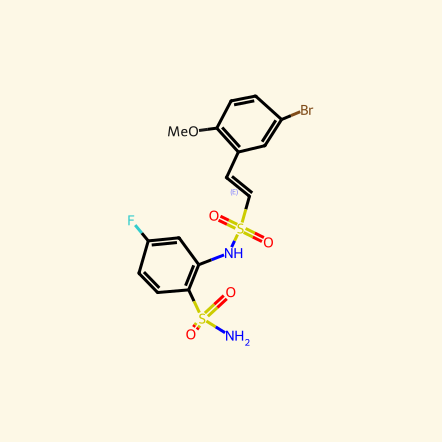 COc1ccc(Br)cc1/C=C/S(=O)(=O)Nc1cc(F)ccc1S(N)(=O)=O